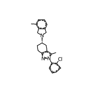 Cc1cccc2c1CN([C@@H]1CCc3nn(-c4ccccc4Cl)c(C)c3C1)C2